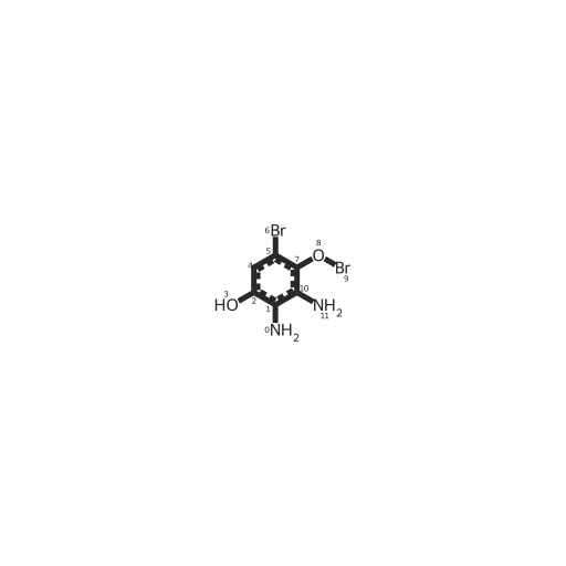 Nc1c(O)cc(Br)c(OBr)c1N